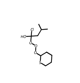 CC(C)CC(O)(Cl)OOOC1CCCCS1